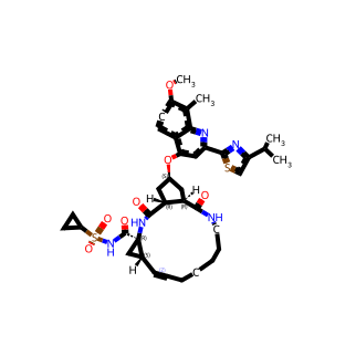 COc1ccc2c(O[C@H]3C[C@H]4C(=O)NCCCCC/C=C\[C@@H]5C[C@@]5(C(=O)NS(=O)(=O)C5CC5)NC(=O)[C@@H]4C3)cc(-c3nc(C(C)C)cs3)nc2c1C